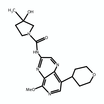 COc1ncc(C2CCOCC2)c2ncc(NC(=O)N3CCC(C)(O)C3)nc12